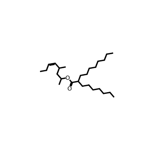 CC/C=C\C(C)CC(C)OC(=O)C(CCCCCCC)CCCCCCCC